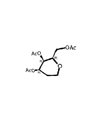 CC(=O)OC[C@H]1O[CH]C[C@@H](OC(C)=O)[C@H]1OC(C)=O